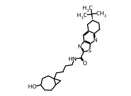 CC(C)(C)[C@H]1CCc2nc3sc(C(=O)NCCCCC45CCC(O)CCC4C5)nc3cc2C1